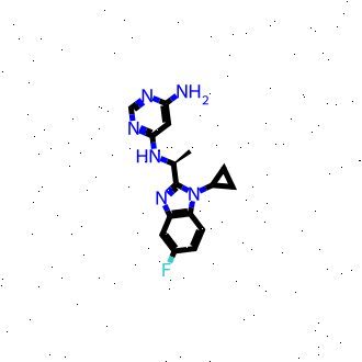 C[C@H](Nc1cc(N)ncn1)c1nc2cc(F)ccc2n1C1CC1